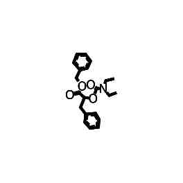 CCN(CC)C(=O)OC(Cc1ccccc1)C(=O)OCc1ccccc1